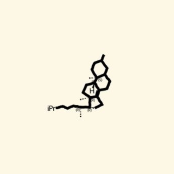 CC(C)CCC[C@@H](C)[C@H]1CCC2=C3CCC4CC(C)CC[C@]4(C)[C@H]3CC[C@@]21C